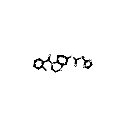 Cc1ccccc1C(=O)N1CCOc2cc(OC(=O)Nc3nccs3)ccc21